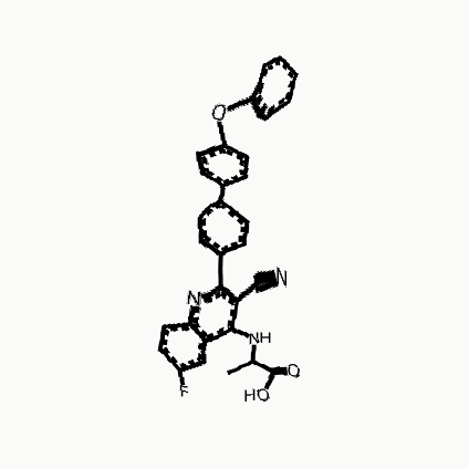 CC(Nc1c(C#N)c(-c2ccc(-c3ccc(Oc4ccccc4)cc3)cc2)nc2ccc(F)cc12)C(=O)O